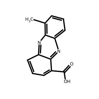 Cc1cccc2nc3c(C(=O)O)cccc3nc12